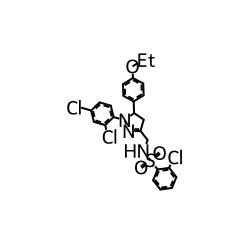 CCOc1ccc(C2CC(CNS(=O)(=O)c3ccccc3Cl)=NN2c2ccc(Cl)cc2Cl)cc1